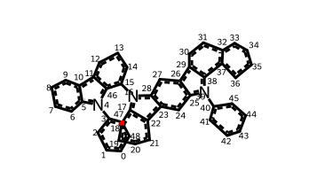 c1ccc(-n2c3ccccc3c3cccc(-n4c5ccccc5c5cc6c(cc54)c4ccc5ccccc5c4n6-c4ccccc4)c32)cc1